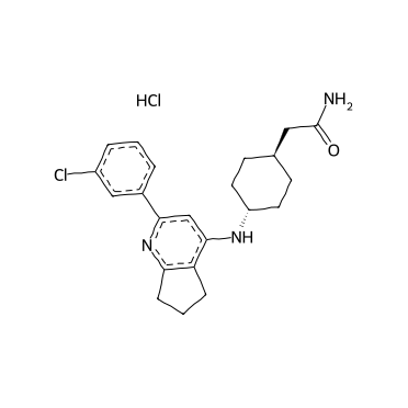 Cl.NC(=O)C[C@H]1CC[C@H](Nc2cc(-c3cccc(Cl)c3)nc3c2CCC3)CC1